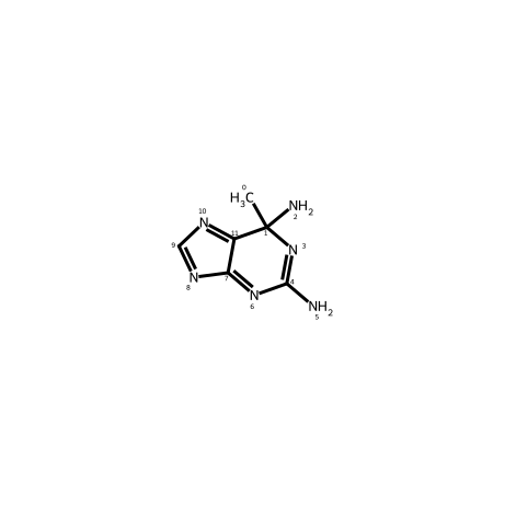 CC1(N)N=C(N)N=C2N=CN=C21